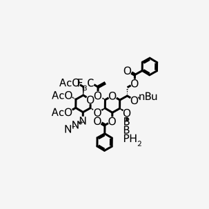 C=C(O[C@@H]1OC([C@H](COC(=O)c2ccccc2)OCCCC)[C@@H](OB=BP)C(OC(=O)c2ccccc2)[C@H]1O[C@H]1O[C@H](COC(C)=O)[C@@H](OC(C)=O)C(OC(C)=O)C1N=[N+]=[N-])C(F)(F)F